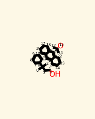 CC(C)(CCO)c1ccccc1.CC(C)=O.c1ccc2cc3ccccc3cc2c1